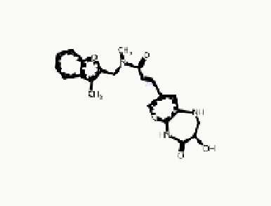 Cc1c(CN(C)C(=O)/C=C/c2cnc3c(c2)NCC(O)C(=O)N3)oc2ccccc12